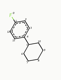 Fc1ccc(C2C[CH]CCC2)cc1